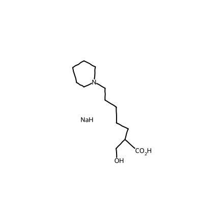 O=C(O)C(CO)CCCCCN1CCCCC1.[NaH]